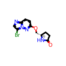 O=C1CC[C@@H](COc2ccc3ncc(Br)n3n2)N1